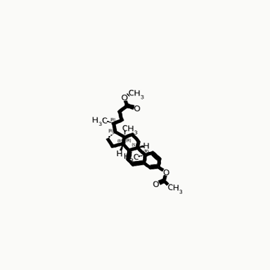 COC(=O)CC[C@@H](C)[C@H]1CC[C@H]2C3=CC=C4C=C(OC(C)=O)C=C[C@]4(C)[C@H]3CC[C@]12C